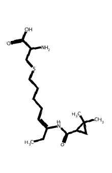 CC/C(=C/CCCCSCC(N)C(=O)O)NC(=O)C1CC1(C)C